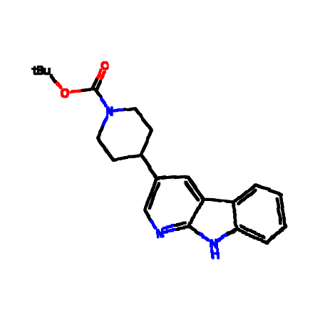 CC(C)(C)OC(=O)N1CCC(c2cnc3[nH]c4ccccc4c3c2)CC1